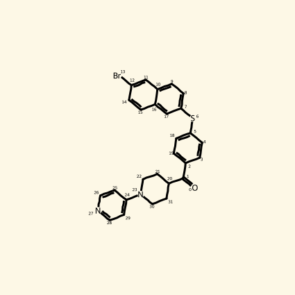 O=C(c1ccc(Sc2ccc3cc(Br)ccc3c2)cc1)C1CCN(c2ccncc2)CC1